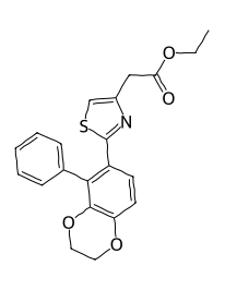 CCOC(=O)Cc1csc(-c2ccc3c(c2-c2ccccc2)OCCO3)n1